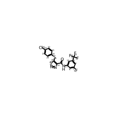 O=C(Nc1cc(F)cc(C(F)(F)F)c1)c1nnsc1Sc1ccc(Cl)cc1